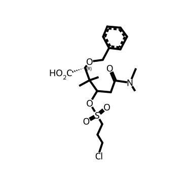 CN(C)C(=O)CC(OS(=O)(=O)CCCCl)C(C)(C)[C@@H](OCc1ccccc1)C(=O)O